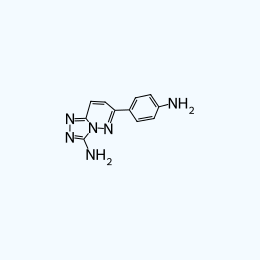 Nc1ccc(-c2ccc3nnc(N)n3n2)cc1